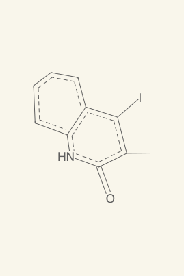 Cc1c(I)c2ccccc2[nH]c1=O